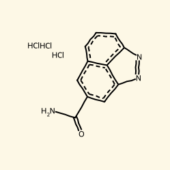 Cl.Cl.Cl.NC(=O)c1cc2c3c(cccc3c1)N=N2